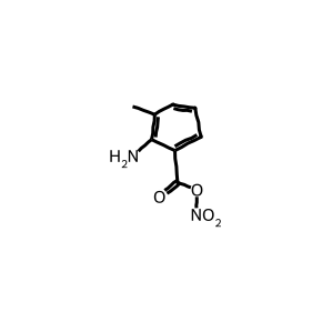 Cc1cccc(C(=O)O[N+](=O)[O-])c1N